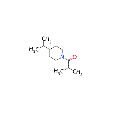 CC(C)C(=O)N1CCC(C(C)C)CC1